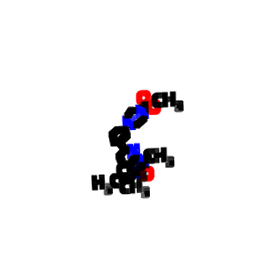 COC(=O)N1CCN(c2cccc(-c3ccc4c(n3)n(C)c(=O)n4CC(C)(C)C)c2)CC1